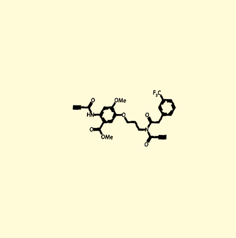 C#CC(=O)Nc1cc(OC)c(OCCCN(C(=O)C#C)C(=O)Cc2cccc(C(F)(F)F)c2)cc1C(=O)OC